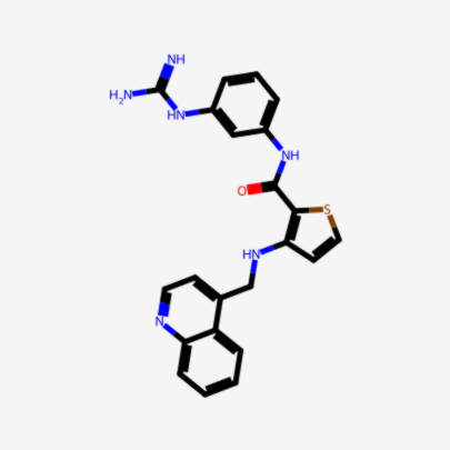 N=C(N)Nc1cccc(NC(=O)c2sccc2NCc2ccnc3ccccc23)c1